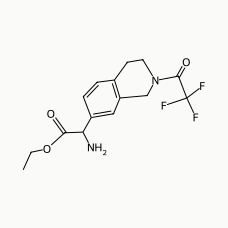 CCOC(=O)C(N)c1ccc2c(c1)CN(C(=O)C(F)(F)F)CC2